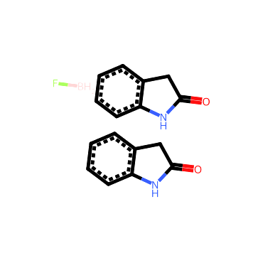 BF.O=C1Cc2ccccc2N1.O=C1Cc2ccccc2N1